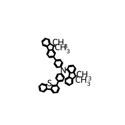 CC1(C)c2ccccc2-c2ccc(-c3ccc(N(c4ccc(-c5cccc6c5sc5ccccc56)cc4)c4cccc5c4-c4ccccc4C5(C)C)cc3)cc21